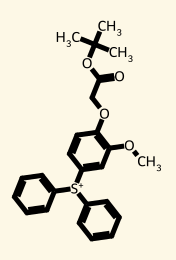 COc1cc([S+](c2ccccc2)c2ccccc2)ccc1OCC(=O)OC(C)(C)C